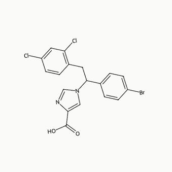 O=C(O)c1cn(C(Cc2ccc(Cl)cc2Cl)c2ccc(Br)cc2)cn1